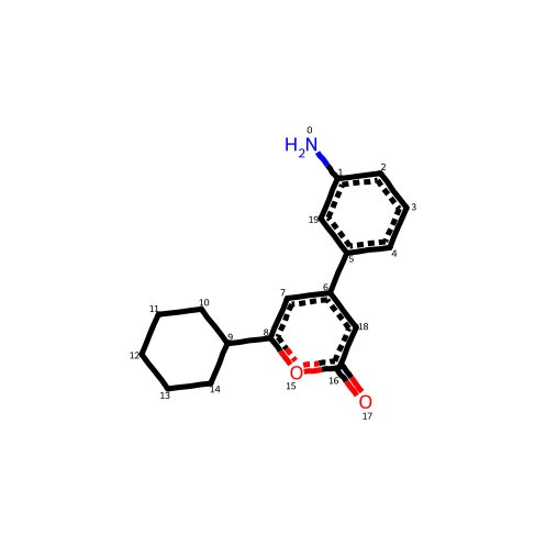 Nc1cccc(-c2cc(C3CCCCC3)oc(=O)c2)c1